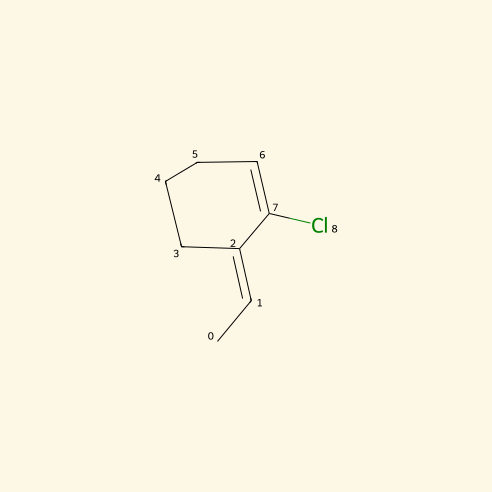 C/C=C1\CCCC=C1Cl